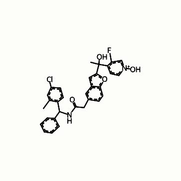 Cc1cc(Cl)ccc1C(NC(=O)Cc1ccc2oc(C(C)(O)c3cc[n+](O)cc3F)cc2c1)c1ccccc1